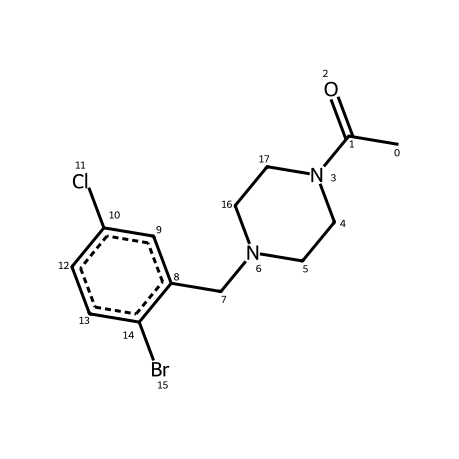 CC(=O)N1CCN(Cc2cc(Cl)ccc2Br)CC1